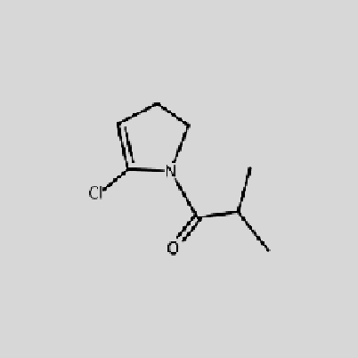 CC(C)C(=O)N1CCC=C1Cl